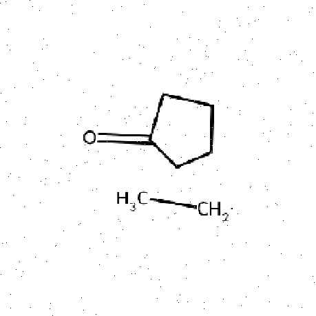 O=C1CCCC1.[CH2]C